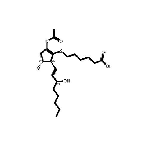 CCCCC[C@H](O)C=C[C@@H]1C(SCCCCCC(=O)O)=C(OC(C)=O)C[C@H]1O